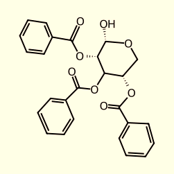 O=C(OC1[C@@H](OC(=O)c2ccccc2)CO[C@@H](O)[C@H]1OC(=O)c1ccccc1)c1ccccc1